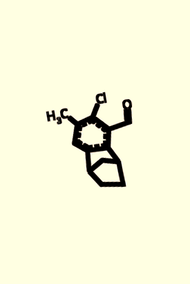 Cc1cc2c(c(C=O)c1Cl)C1CCC2C1